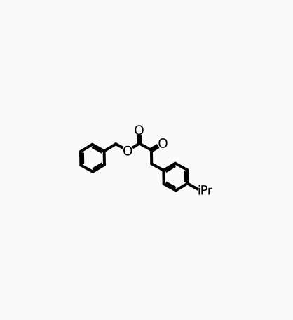 CC(C)c1ccc(CC(=O)C(=O)OCc2ccccc2)cc1